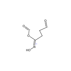 O=[C]CC/C(=N/O)O[C]=O